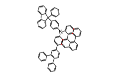 c1ccc(-c2ccc(-c3ccc(N(c4ccc(C5(c6ccccc6)c6ccccc6-c6ccccc65)cc4)c4ccccc4-c4cccc5cccc(-c6ccccc6)c45)cc3)cc2-c2ccccc2)cc1